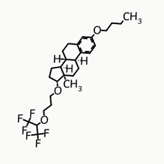 CCCCOc1ccc2c(c1)CC[C@@H]1[C@@H]2CC[C@]2(C)[C@@H](OCCCOC(C(F)(F)F)C(F)(F)F)CC[C@@H]12